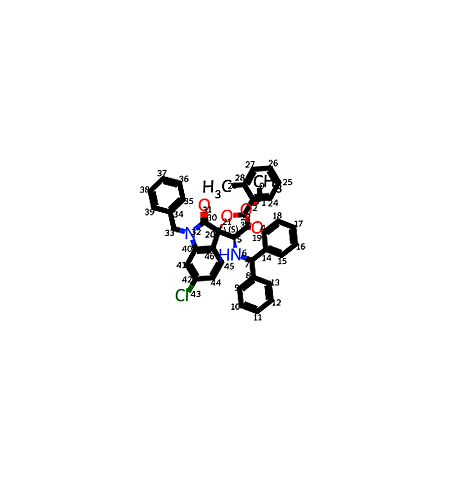 CCOC(=O)[C@@H](NC(c1ccccc1)c1ccccc1)[C@]1(OCc2ccccc2C)C(=O)N(Cc2ccccc2)c2cc(Cl)ccc21